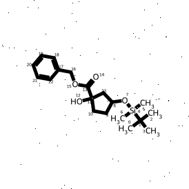 CC(C)(C)[Si](C)(C)OC1CCC(O)(C(=O)OCc2ccccc2)C1